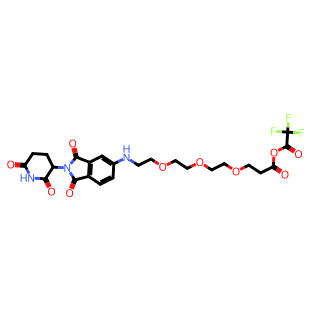 O=C1CCC(N2C(=O)c3ccc(NCCOCCOCCOCCC(=O)OC(=O)C(F)(F)F)cc3C2=O)C(=O)N1